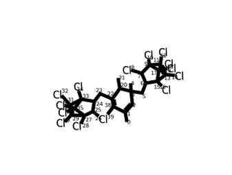 CC1=CC(C)(CC2C(Cl)C3(Cl)C(Cl)=C(Cl)C2(Cl)C3(Cl)Cl)C(C)C(CC2C(Cl)C3(Cl)C(Cl)=C(Cl)C2(Cl)C3(Cl)Cl)=C1C